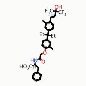 CCC(CC)(c1ccc(/C=C/C(O)(C(F)(F)F)C(F)(F)F)c(C)c1)c1ccc(OCC(=O)N[C@@H](Cc2ccccc2)C(=O)O)c(C)c1